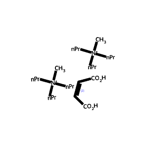 CCC[N+](C)(CCC)CCC.CCC[N+](C)(CCC)CCC.O=C(O)/C=C\C(=O)O